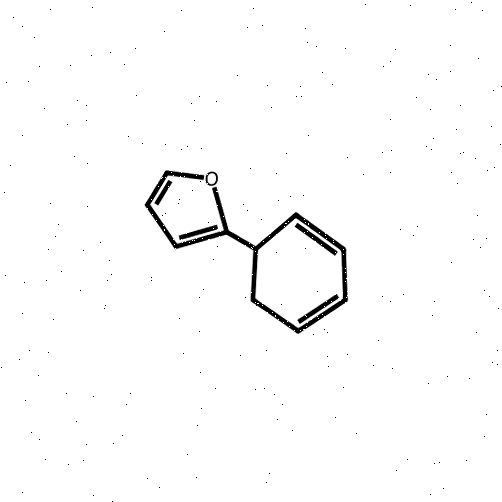 C1=CCC(c2ccco2)C=C1